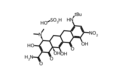 CN(C)[C@@H]1C(O)=C(C(N)=O)C(=O)[C@@]2(O)C(O)=C3C(=O)c4c(O)c([N+](=O)[O-])cc(NC(C)(C)C)c4CC3CC12.O=S(=O)(O)O